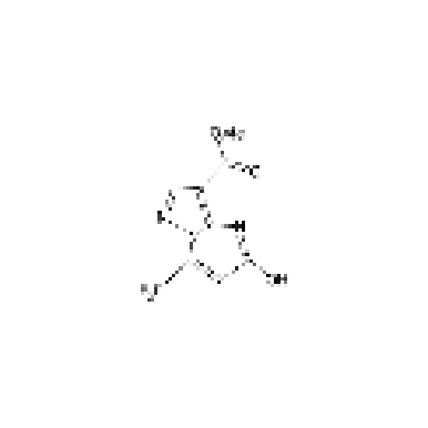 COC(=O)c1cnn2c(C(F)(F)F)cc(O)nc12